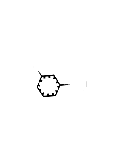 O=C(O)c1cc[c]c(C(F)(F)F)c1